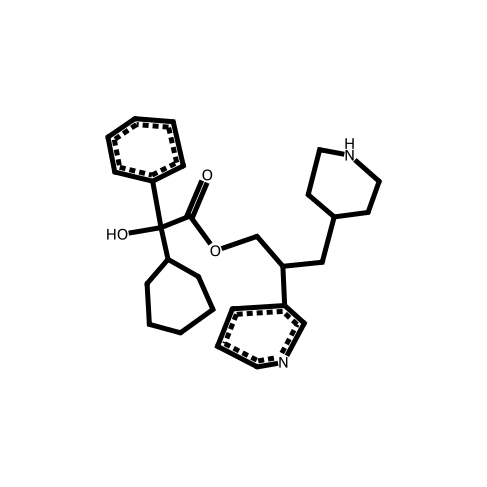 O=C(OCC(CC1CCNCC1)c1cccnc1)C(O)(c1ccccc1)C1CCCCC1